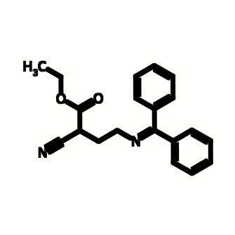 CCOC(=O)C(C#N)CCN=C(c1ccccc1)c1ccccc1